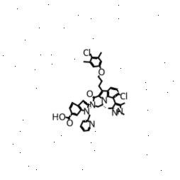 Cc1cc(OCCCc2c3n(c4c(-c5c(C)nn(C)c5C)c(Cl)ccc24)[C@H](C)CN(c2cc4ccc(C(=O)O)cc4n2Cc2ccccn2)C3=O)cc(C)c1Cl